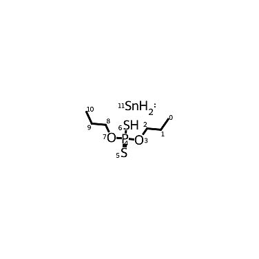 CCCOP(=S)(S)OCCC.[SnH2]